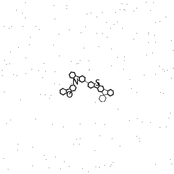 c1ccc2c(c1)-c1cc3sc4cc(-c5ccc6c7ccccc7n(-c7ccc8oc9ccccc9c8c7)c6c5)ccc4c3cc1C21CCCCC1